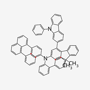 CC1(C)c2ccccc2-c2c(-c3ccc4c5ccccc5n(-c5ccccc5)c4c3)cc(N(c3ccc(-c4cccc5cccc(-c6ccccc6)c45)cc3)c3ccccc3-c3ccccc3)cc21